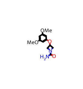 COc1cc(OC)cc(OC2CN(C(N)=O)C2)c1